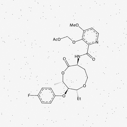 CC[C@H]1OCC[C@H](NC(=O)c2nccc(OC)c2OCOC(C)=O)C(=O)O[C@@H](C)[C@@H]1Oc1ccc(F)cc1